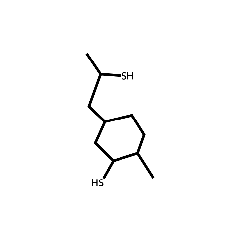 CC(S)CC1CCC(C)C(S)C1